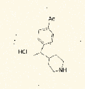 CC(=O)c1ccc(C(C)C2CCNCC2)cc1.Cl